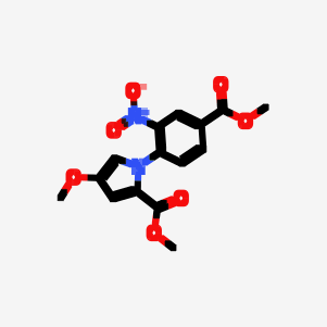 COC(=O)c1ccc(-n2cc(OC)cc2C(=O)OC)c([N+](=O)[O-])c1